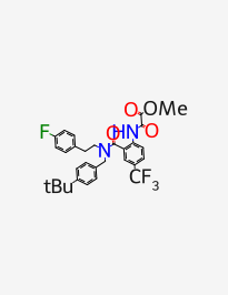 COC(=O)C(=O)Nc1ccc(C(F)(F)F)cc1C(=O)N(CCc1ccc(F)cc1)Cc1ccc(C(C)(C)C)cc1